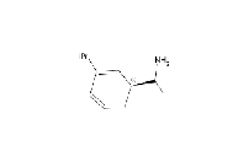 CC(C)C1=C[C@@H](C(C)N)CC=C1